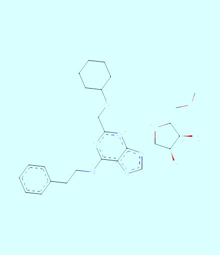 COC[C@H]1O[C@@H](n2cnc3c(NCCc4ccccc4)nc(CNC4CCCCC4)nc32)[C@H](O)[C@@H]1O